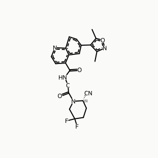 Cc1noc(C)c1-c1ccc2nccc(C(=O)NCC(=O)N3CC(F)(F)CC[C@H]3C#N)c2c1